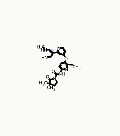 CCc1nc(NC(=O)N2CCC(C)(C)C2=O)ccc1Oc1ccnc(/C(C=N)=C/NC)c1